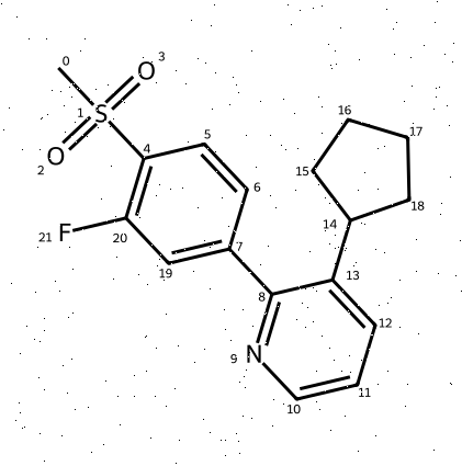 CS(=O)(=O)c1ccc(-c2ncccc2C2CCCC2)cc1F